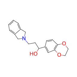 OC(CCN1Cc2ccccc2C1)c1ccc2c(c1)OCCO2